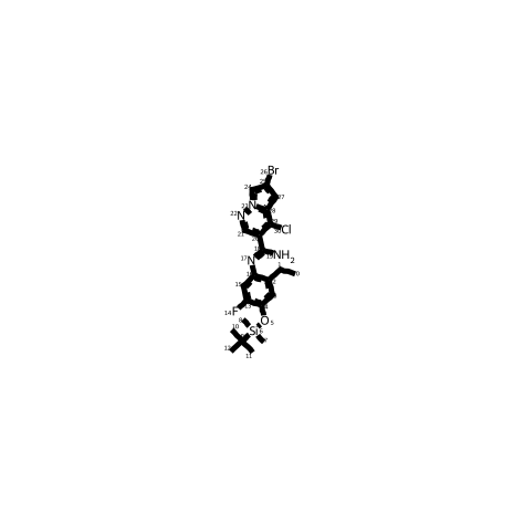 CCc1cc(O[Si](C)(C)C(C)(C)C)c(F)cc1/N=C(\N)c1cnn2cc(Br)cc2c1Cl